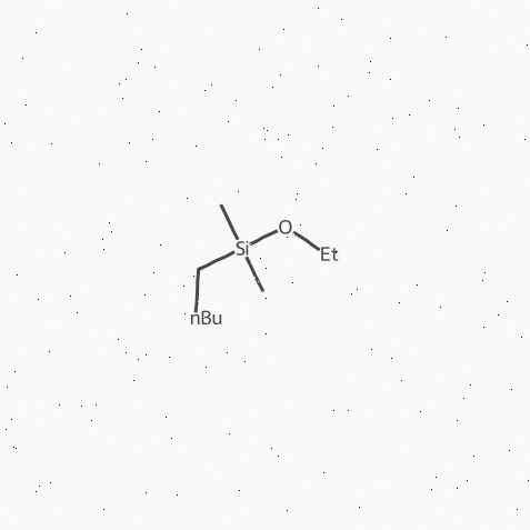 CCCCC[Si](C)(C)OCC